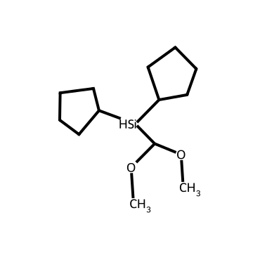 COC(OC)[SiH](C1CCCC1)C1CCCC1